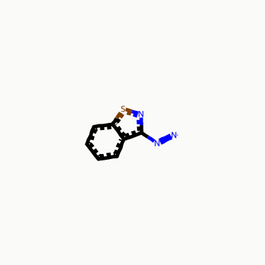 [N]=Nc1nsc2ccccc12